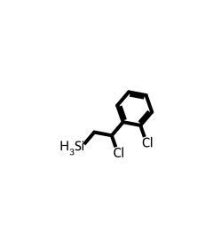 [SiH3]CC(Cl)c1ccccc1Cl